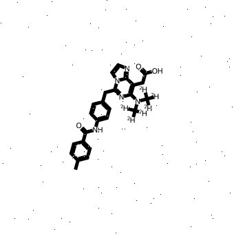 [2H]C([2H])([2H])N(c1nc(Cc2ccc(NC(=O)c3ccc(C)cc3)cc2)n2ccnc2c1CC(=O)O)C([2H])([2H])[2H]